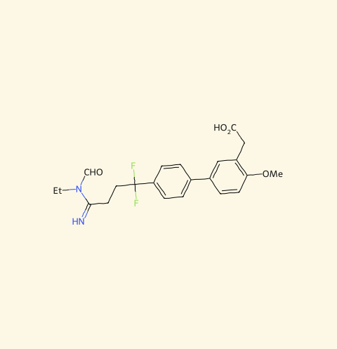 CCN(C=O)C(=N)CCC(F)(F)c1ccc(-c2ccc(OC)c(CC(=O)O)c2)cc1